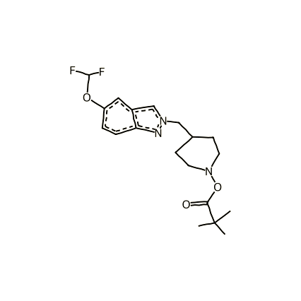 CC(C)(C)C(=O)ON1CCC(Cn2cc3cc(OC(F)F)ccc3n2)CC1